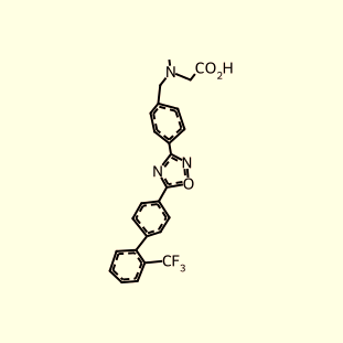 CN(CC(=O)O)Cc1ccc(-c2noc(-c3ccc(-c4ccccc4C(F)(F)F)cc3)n2)cc1